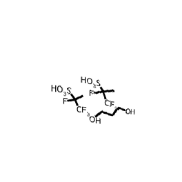 CC(F)(C(F)(F)F)S(=O)(=O)O.CC(F)(C(F)(F)F)S(=O)(=O)O.OCCCO